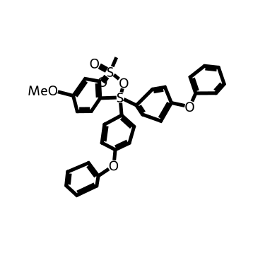 COc1ccc(S(OS(C)(=O)=O)(c2ccc(Oc3ccccc3)cc2)c2ccc(Oc3ccccc3)cc2)cc1